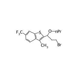 CCCOC(CCBr)c1sc2cc(C(F)(F)F)ccc2c1C